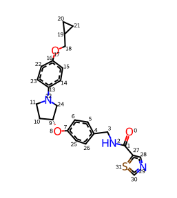 O=C(NCc1ccc(O[C@@H]2CCN(c3ccc(OCC4CC4)cc3)C2)cc1)c1cncs1